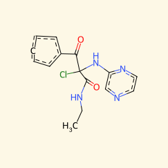 CCNC(=O)C(Cl)(Nc1cnccn1)C(=O)c1ccccc1